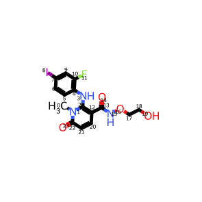 Cn1c(Nc2ccc(I)cc2F)c(C(=O)NOCCO)ccc1=O